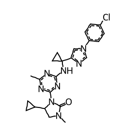 Cc1nc(NC2(c3cn(-c4ccc(Cl)cc4)cn3)CC2)nc(N2C(=O)N(C)CC2C2CC2)n1